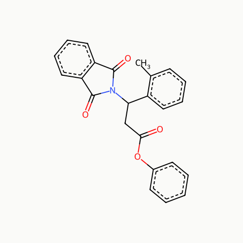 Cc1ccccc1C(CC(=O)Oc1ccccc1)N1C(=O)c2ccccc2C1=O